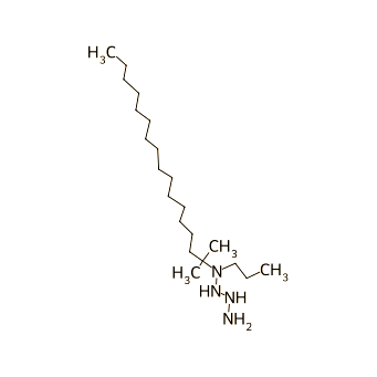 CCCCCCCCCCCCCCCC(C)(C)N(CCC)NNN